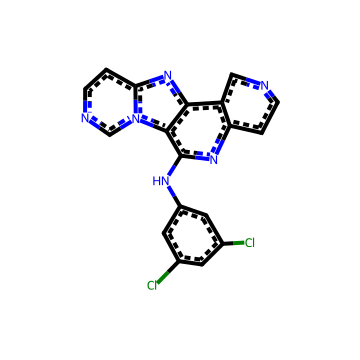 Clc1cc(Cl)cc(Nc2nc3ccncc3c3nc4ccncn4c23)c1